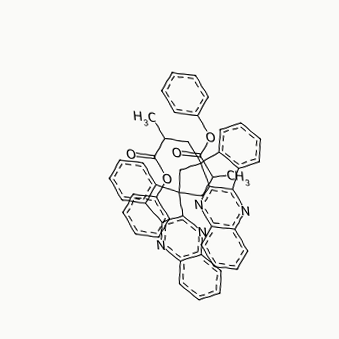 CC(CC1(CC2(CC(C)C(=O)Oc3ccccc3)c3ccccc3-c3nc4ccccc4nc32)c2ccccc2-c2nc3ccccc3nc21)C(=O)Oc1ccccc1